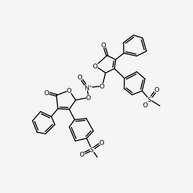 CS(=O)(=O)c1ccc(C2=C(c3ccccc3)C(=O)OC2O[N+](=O)OC2OC(=O)C(c3ccccc3)=C2c2ccc(S(C)(=O)=O)cc2)cc1